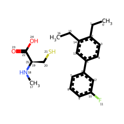 CCc1ccc(-c2cccc(F)c2)cc1CC.CN[C@H](CS)C(=O)O